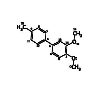 COc1ccc(-c2ccc(C)cc2)cc1OC